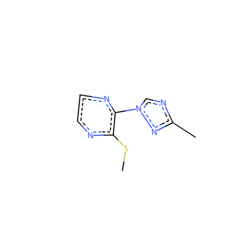 CSc1nccnc1-n1cnc(C)n1